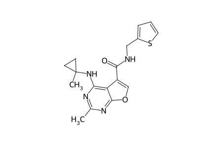 Cc1nc(NC2(C)CC2)c2c(C(=O)NCc3cccs3)coc2n1